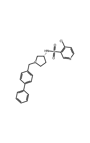 O=S(=O)(N[C@@H]1CCN(Cc2ccc(-c3ccccc3)cc2)C1)c1cnccc1Cl